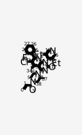 C=CC(=O)N1CCN(c2nc(=O)n(-c3c(CC)cncc3CC)c3nc(-c4ccccc4F)c(Cl)c(I)c23)[C@@H](C)C1